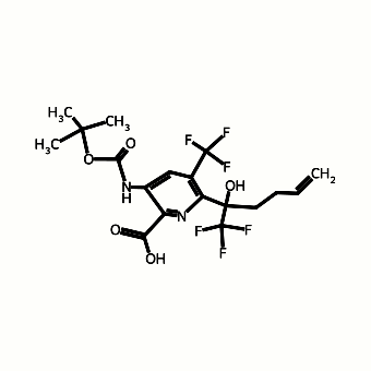 C=CCCC(O)(c1nc(C(=O)O)c(NC(=O)OC(C)(C)C)cc1C(F)(F)F)C(F)(F)F